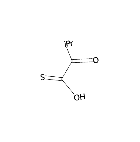 CC(C)C(=O)C(O)=S